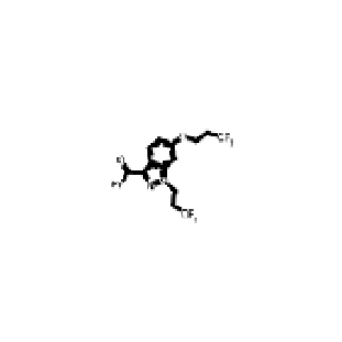 CC(C)C(=O)c1nn(CCC(F)(F)F)c2cc(OCCC(F)(F)F)ccc12